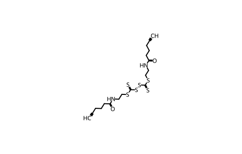 C#CCCCC(=O)NCCSC(=S)SSC(=S)SCCNC(=O)CCCC#C